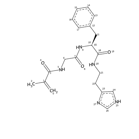 C=C(C)C(=O)NCC(=O)N[C@@H](Cc1ccccc1)C(=O)NCCc1c[nH]cn1